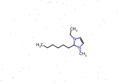 CCCCCCC1N(C)C=CN1CC